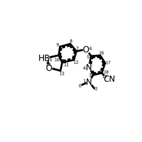 CN(C)c1nc(Oc2ccc3c(c2)COB3)ccc1C#N